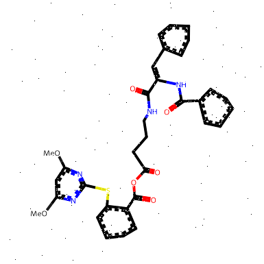 COc1cc(OC)nc(Sc2ccccc2C(=O)OC(=O)CCCNC(=O)C(=Cc2ccccc2)NC(=O)c2ccccc2)n1